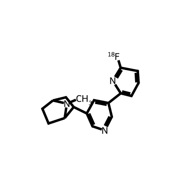 CN1C2CCC1C(c1cncc(-c3cccc([18F])n3)c1)C2